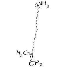 C=CCN(CC=C)CCCCCCCCCCCCCCCCCCCCCC(N)=O